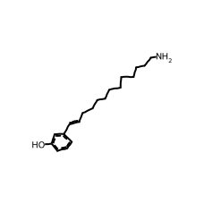 NCCCCCCCCCCCC=Cc1cccc(O)c1